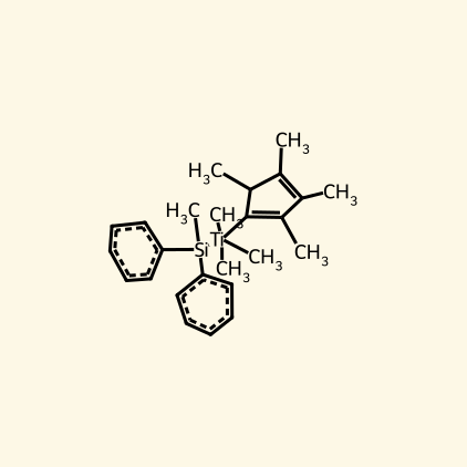 CC1=C(C)C(C)[C]([Ti]([CH3])([CH3])([CH3])[Si](C)(c2ccccc2)c2ccccc2)=C1C